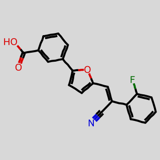 N#C/C(=C\c1ccc(-c2cccc(C(=O)O)c2)o1)c1ccccc1F